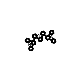 c1ccc2c(c1)c1ccc(-c3cccc4c3c3cccc5c6c(-c7ccc8c9ccccc9n9c%10ccccc%10c7c89)cccc6n4c35)c3c4ccccc4n2c13